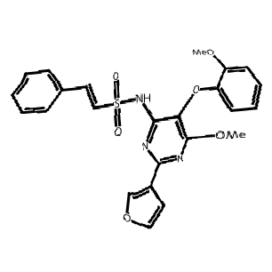 COc1ccccc1Oc1c(NS(=O)(=O)/C=C/c2ccccc2)nc(-c2ccoc2)nc1OC